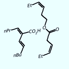 CC/C=C\CCOC(=O)C/C=C\CC.CCCC=C(C=CCCCC)C(=O)O